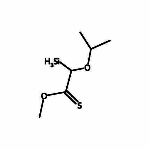 COC(=S)C([SiH3])OC(C)C